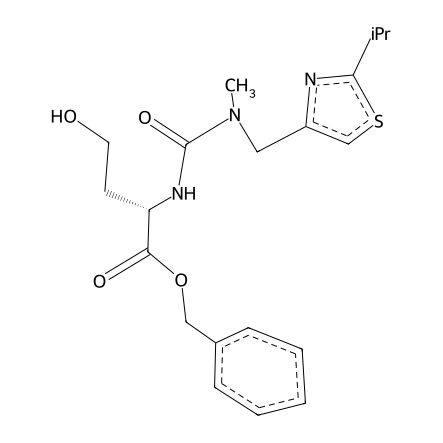 CC(C)c1nc(CN(C)C(=O)N[C@@H](CCO)C(=O)OCc2ccccc2)cs1